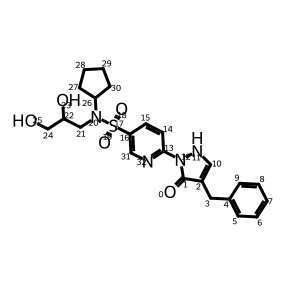 O=c1c(Cc2ccccc2)c[nH]n1-c1ccc(S(=O)(=O)N(CC(O)CO)C2CCCC2)cn1